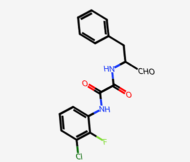 O=CC(Cc1ccccc1)NC(=O)C(=O)Nc1cccc(Cl)c1F